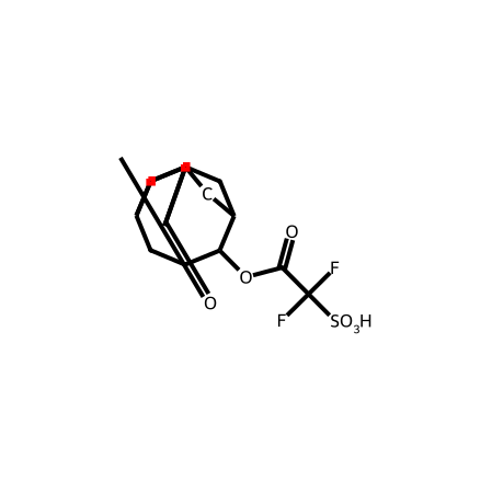 O=C1C2CC3CCC(OC(=O)C(F)(F)S(=O)(=O)O)C(C2)CC1C3